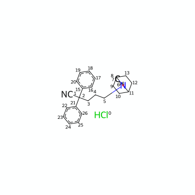 Cl.N#CC(CCCN1CC2CCC(CC2)C1)(c1ccccc1)c1ccccc1